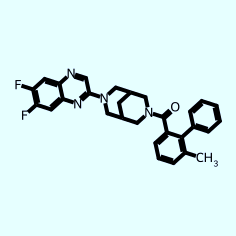 Cc1cccc(C(=O)N2CC3CC(C2)CN(c2cnc4cc(F)c(F)cc4n2)C3)c1-c1ccccc1